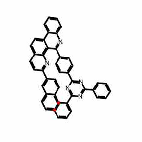 c1ccc(-c2nc(-c3ccccc3)nc(-c3ccc(-c4nc5ccccc5c5ccc6ccc(-c7ccc8ccccc8c7)nc6c45)cc3)n2)cc1